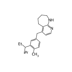 CCC(c1cc(Cc2ccnc3c2CCCCN3)ccc1C)C(C)C